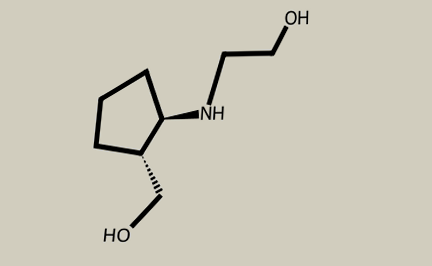 OCCN[C@@H]1CCC[C@H]1CO